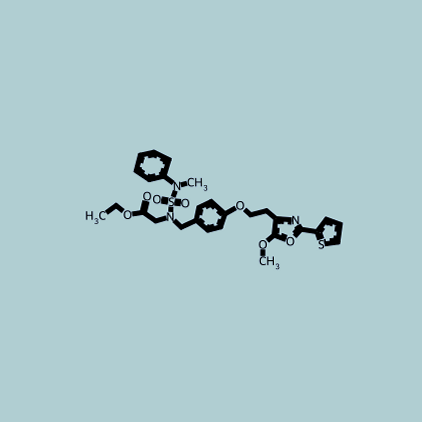 CCOC(=O)CN(Cc1ccc(OCCc2nc(-c3cccs3)oc2OC)cc1)S(=O)(=O)N(C)c1ccccc1